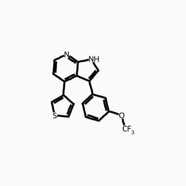 FC(F)(F)Oc1cccc(-c2c[nH]c3nccc(-c4ccsc4)c23)c1